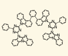 c1ccc(-c2nc(-n3c4ccccc4c4c(-c5ccccc5-c5cccc6c5c5ccccc5n6-c5nc(-c6ccccc6)nc(-n6c7ccccc7n7c8ccccc8nc67)n5)cccc43)nc(-n3c4ccccc4n4c5ccccc5nc34)n2)cc1